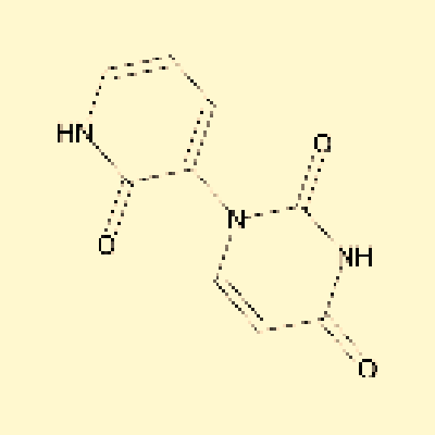 O=c1ccn(-c2ccc[nH]c2=O)c(=O)[nH]1